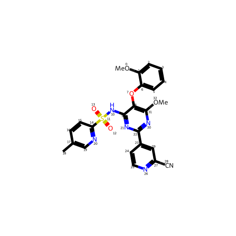 COc1ccccc1Oc1c(NS(=O)(=O)c2ccc(C)cn2)nc(-c2ccnc(C#N)c2)nc1OC